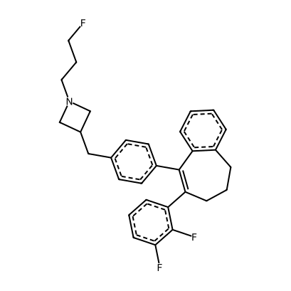 FCCCN1CC(Cc2ccc(C3=C(c4cccc(F)c4F)CCCc4ccccc43)cc2)C1